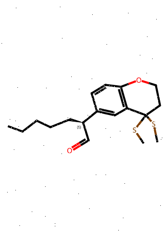 CCCCC[C@H](C=O)c1ccc2c(c1)C(SC)(SC)CCO2